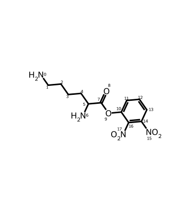 NCCCCC(N)C(=O)Oc1cccc([N+](=O)[O-])c1[N+](=O)[O-]